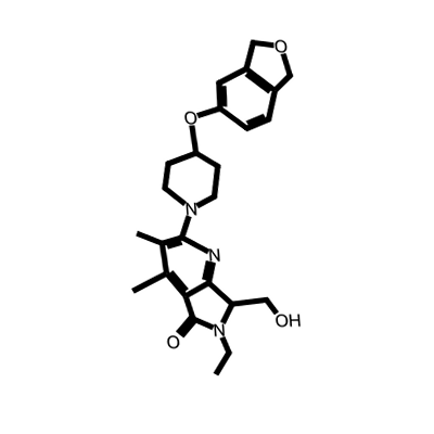 CCN1C(=O)c2c(nc(N3CCC(Oc4ccc5c(c4)COC5)CC3)c(C)c2C)C1CO